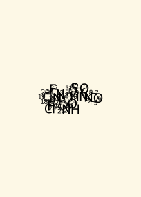 O=C(NN1CCOCC1)c1cc(-c2nn(-c3c(F)cccc3F)c3c(Cl)c[nH]c(=O)c23)cs1